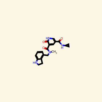 CN(Cc1cccc2c1CCN2)C(=O)c1cc(C(=O)NC2CC2)c[nH]c1=O